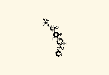 COC(=S)NC[C@H]1CN(c2cc(F)c(N3CCNN(C(=O)Oc4cccnc4)CC3)c(F)c2)C(=O)O1